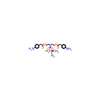 CC(C)(C)OC(=O)N(CCOC(=O)Cc1ccc(N)cc1)CCOC(=O)Cc1ccc(N)cc1